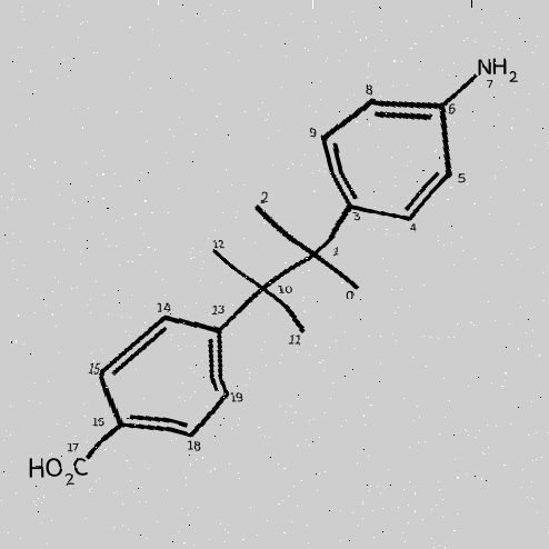 CC(C)(c1ccc(N)cc1)C(C)(C)c1ccc(C(=O)O)cc1